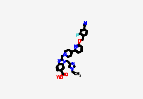 CCn1cnc(Cn2c(CN3CC=C(c4cccc(OCc5ccc(C#N)cc5F)n4)CC3)nc3ccc(C(=O)O)cc32)c1